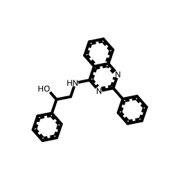 OC(CNc1nc(-c2ccccc2)nc2ccccc12)c1ccccc1